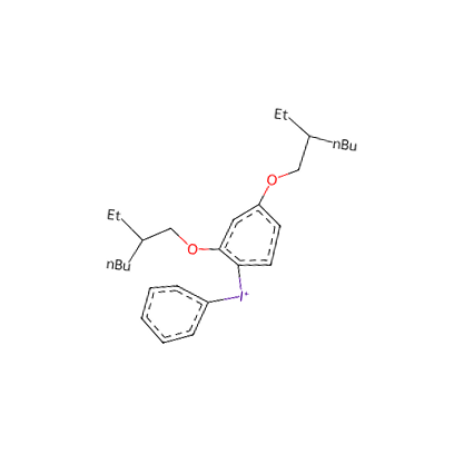 CCCCC(CC)COc1ccc([I+]c2ccccc2)c(OCC(CC)CCCC)c1